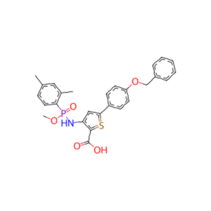 COP(=O)(Nc1cc(-c2ccc(OCc3ccccc3)cc2)sc1C(=O)O)c1ccc(C)cc1C